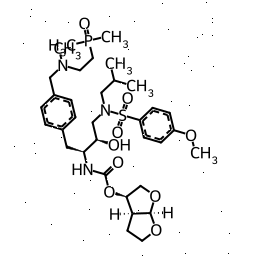 COc1ccc(S(=O)(=O)N(CC(C)C)C[C@@H](O)[C@H](Cc2ccc(CN(C)CCP(C)(C)=O)cc2)NC(=O)O[C@H]2CO[C@H]3OCC[C@H]32)cc1